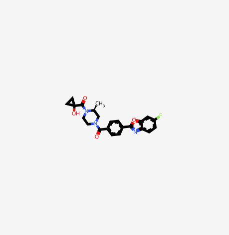 C[C@H]1CN(C(=O)c2ccc(-c3nc4ccc(F)cc4o3)cc2)CCN1C(=O)C1(O)CC1